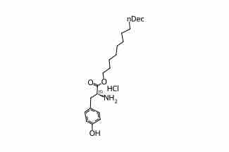 CCCCCCCCCCCCCCCCCCOC(=O)[C@@H](N)Cc1ccc(O)cc1.Cl